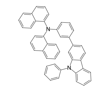 c1ccc(-n2c3ccccc3c3ccc(-c4cccc(N(c5cccc6ccccc56)c5cccc6ccccc56)c4)cc32)cc1